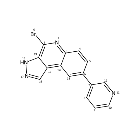 Brc1nc2ccc(-c3cccnc3)cc2c2cn[nH]c12